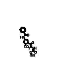 CC(C)(C)OC(=O)NCC(=O)N1CC(NC(=O)c2ccccc2)CC1C(=O)O